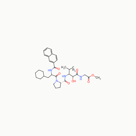 COC(=O)CNC(=O)C(O)C(NC(=O)[C@@H]1CCCN1C(=O)C(CC1CCCCC1)NC(=O)c1ccc2ccccc2c1)C(C)C